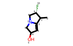 CC1C2=CC(O)CN2C[C@@H]1F